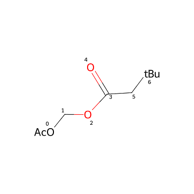 CC(=O)OCOC(=O)CC(C)(C)C